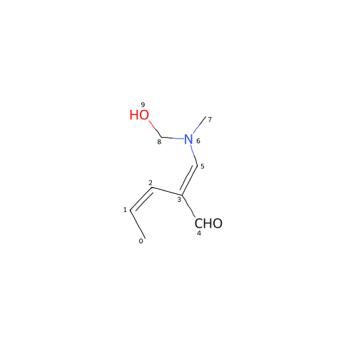 C/C=C\C(C=O)=C/N(C)CO